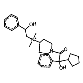 C[N+](C)(CC(O)c1ccccc1)C1CCN(C(=O)C(O)(c2ccccc2)C2CCCC2)CC1